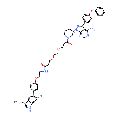 Nc1ncnc2c1c(-c1ccc(Oc3ccccc3)cc1)nn2[C@@H]1CCCN(C(=O)CCOCCOCCC(=O)NCCOc2ccc(-c3cc4c(C(=O)O)c[nH]c4cc3Cl)cc2)C1